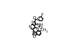 Cc1ccc2c(c1N1C(=O)Nc3c(C(=O)N4CCCC(F)C4)sc4ncc(C#N)c1c34)OCO2